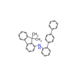 CC1(C)c2ccccc2-c2cccc(Nc3ccccc3-c3ccc(-c4ccccc4)cc3)c21